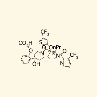 CCC[C@H]1N(C(=O)c2ncccc2C(F)(F)F)CCC[C@@]1(Oc1csc(C(F)(F)F)c1)C(=O)N1CCC(O)(c2ccccc2OCC(=O)O)CC1